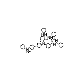 N=Cc1c(Nc2ccccc2)ccc2c3cc(-c4ccc5c(cnn5-c5ccccc5)c4)ccc3n(-c3cccc(-c4nc(-c5ccccc5)nc(-c5ccccc5)n4)c3)c12